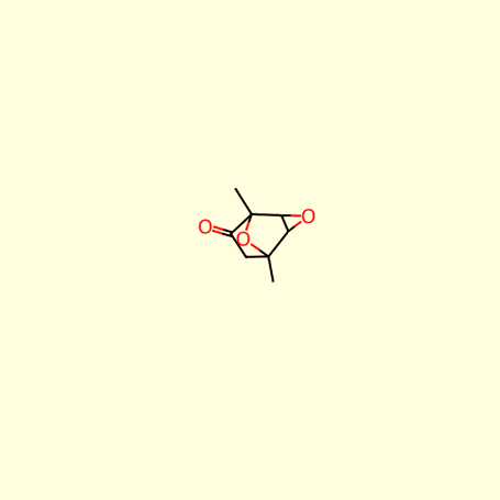 CC12CC(=O)C(C)(O1)C1OC12